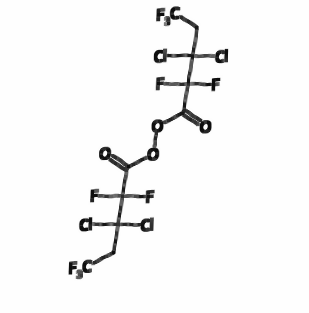 O=C(OOC(=O)C(F)(F)C(Cl)(Cl)CC(F)(F)F)C(F)(F)C(Cl)(Cl)CC(F)(F)F